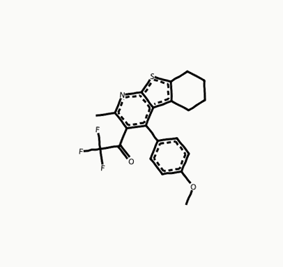 COc1ccc(-c2c(C(=O)C(F)(F)F)c(C)nc3sc4c(c23)CCCC4)cc1